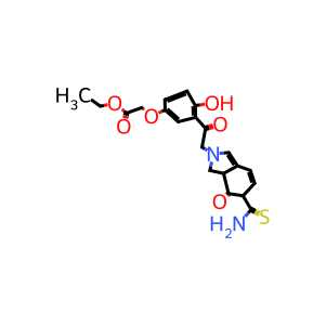 CCOC(=O)COc1ccc(O)c(C(=O)CN2C=C3C=CC(C(N)=S)C(=O)C3C2)c1